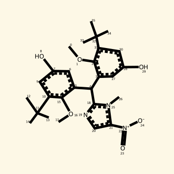 COc1c(C(c2cc(O)cc(C(C)(C)C)c2OC)c2ncc([N+](=O)[O-])n2C)cc(O)cc1C(C)(C)C